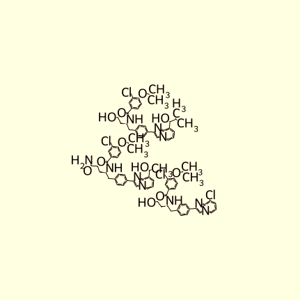 CC(C)Oc1ccc(C(=O)N[C@H](CCC(N)=O)Cc2ccc(-c3cn4cccc(C(C)O)c4n3)cc2)cc1Cl.CC(C)Oc1ccc(C(=O)N[C@H](CCO)Cc2ccc(-c3cn4cccc(C(O)C(C)C)c4n3)cc2)cc1Cl.CC(C)Oc1ccc(C(=O)N[C@H](CCO)Cc2ccc(-c3cn4cccc(Cl)c4n3)cc2)cc1Cl